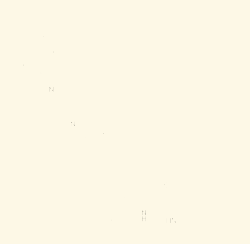 COc1cc(CC(=O)N2CCCN(C(=O)OC(C)(C)C)CC2)ccc1NC(=O)Nc1ccccc1C